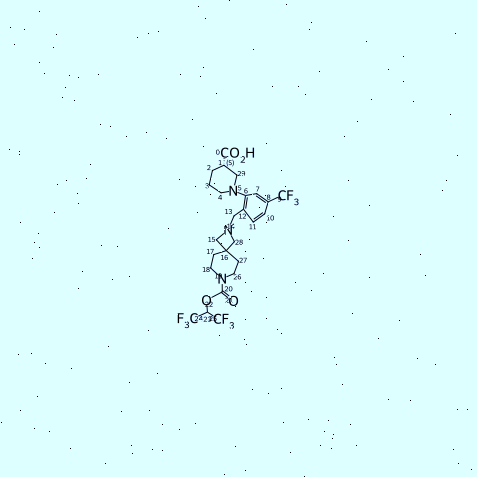 O=C(O)[C@H]1CCCN(c2cc(C(F)(F)F)ccc2CN2CC3(CCN(C(=O)OC(C(F)(F)F)C(F)(F)F)CC3)C2)C1